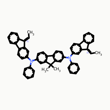 C/C=C1\c2ccccc2-c2ccc(N(c3ccccc3)c3ccc4c(c3)C(C)(C)c3cc(N(c5ccccc5)c5ccc6c(c5)/C(=C/C)c5ccccc5-6)ccc3-4)cc21